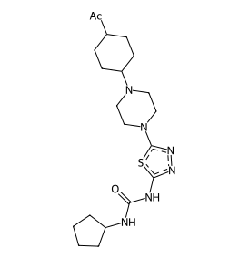 CC(=O)C1CCC(N2CCN(c3nnc(NC(=O)NC4CCCC4)s3)CC2)CC1